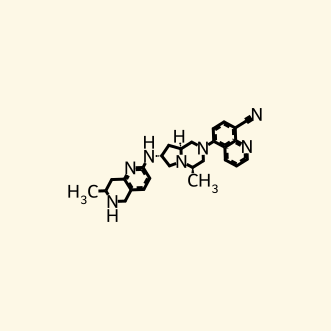 CC1Cc2nc(N[C@@H]3C[C@H]4CN(c5ccc(C#N)c6ncccc56)C[C@@H](C)N4C3)ccc2CN1